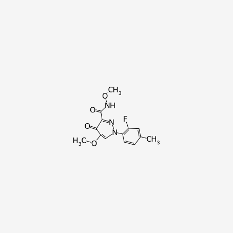 CONC(=O)c1nn(-c2ccc(C)cc2F)cc(OC)c1=O